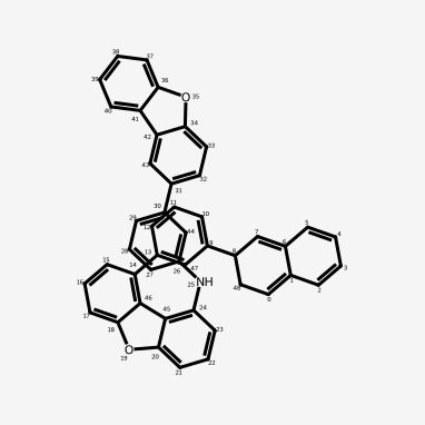 C1=c2ccccc2=CC(c2cccc(-c3cccc4oc5cccc(Nc6cccc(-c7ccc8oc9ccccc9c8c7)c6)c5c34)c2)C1